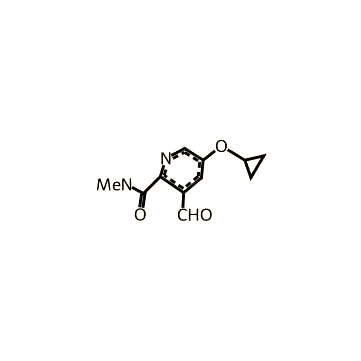 CNC(=O)c1ncc(OC2CC2)cc1C=O